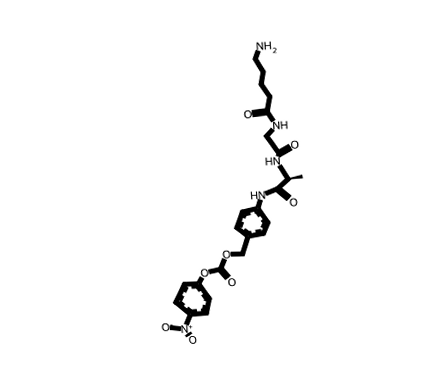 C[C@H](NC(=O)CNC(=O)CCCCN)C(=O)Nc1ccc(COC(=O)Oc2ccc([N+](=O)[O-])cc2)cc1